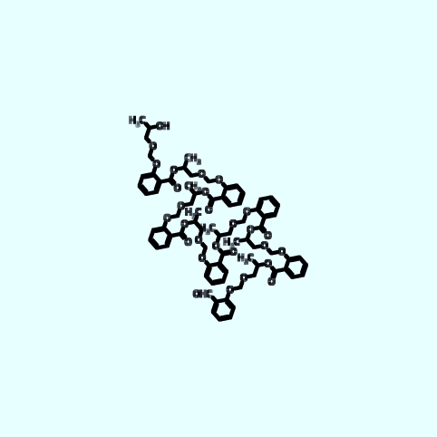 CC(O)COCOc1ccccc1C(=O)OC(C)COCOc1ccccc1C(=O)OC(C)COCOc1ccccc1C(=O)OC(C)COCOc1ccccc1C(=O)OC(C)COCOc1ccccc1C(=O)OC(C)COCOc1ccccc1C(=O)OC(C)COCOc1ccccc1C=O